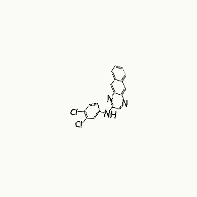 Clc1ccc(Nc2cnc3cc4ccccc4cc3n2)cc1Cl